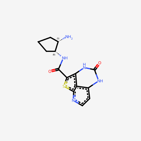 N[C@H]1CCC[C@H]1NC(=O)c1sc2nccc3c2c1NC(=O)N3